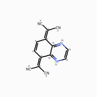 N#CC(C#N)=c1ccc(=C(C#N)C#N)c2nccnc12